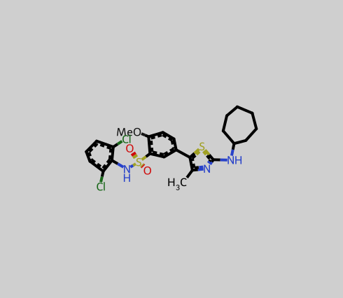 COc1ccc(-c2sc(NC3CCCCCC3)nc2C)cc1S(=O)(=O)Nc1c(Cl)cccc1Cl